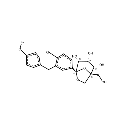 CCOc1ccc(Cc2cc([C@]34OC[C@](CO)(O3)[C@@H](O)[C@@H](O)[C@H]4O)ccc2Cl)cc1